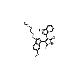 CSc1ccc2c(c1)c(C1=C(c3c[nH]c4ccccc34)C(=O)NC1=O)cn2CCCN=C=S